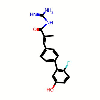 C/C(=C\c1ccc(-c2cc(O)ccc2F)cc1)C(=O)NC(=N)N